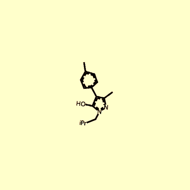 Cc1ccc(-c2c(C)nn(CC(C)C)c2O)cc1